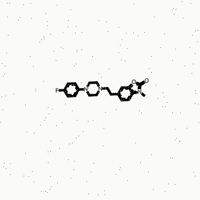 Cn1c(=O)oc2cc(CCN3CCN(c4ccc(F)cc4)CC3)ccc21